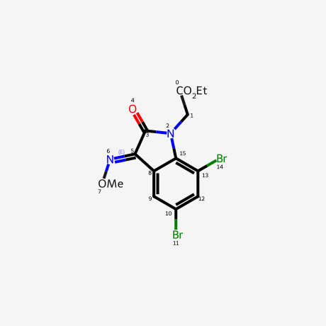 CCOC(=O)CN1C(=O)/C(=N/OC)c2cc(Br)cc(Br)c21